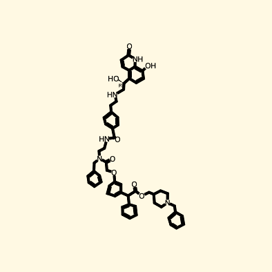 O=C(NCCN(Cc1ccccc1)C(=O)COc1cccc(C(C(=O)OCC2CCN(Cc3ccccc3)CC2)c2ccccc2)c1)c1ccc(CCNC[C@H](O)c2ccc(O)c3[nH]c(=O)ccc23)cc1